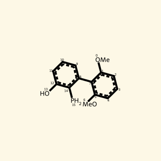 COc1cccc(OC)c1-c1cccc(O)c1P